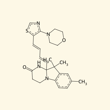 Cc1ccc2c(c1)C(C)(C)C1(C=CC=Cc3scnc3N3CCOCC3)NC(=O)CCN21